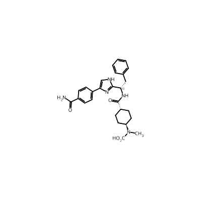 CN(C(=O)O)[C@H]1CC[C@H](C(=O)N[C@@H](Cc2ccccc2)c2nc(-c3ccc(C(N)=O)cc3)c[nH]2)CC1